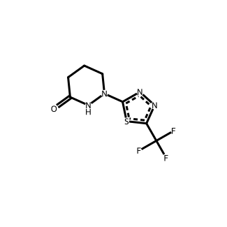 O=C1CCCN(c2nnc(C(F)(F)F)s2)N1